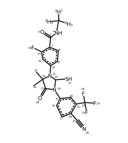 [2H]C([2H])([2H])NC(=O)c1ccc(N2C(S)N(c3ccc(C#N)c(C(F)(F)F)c3)C(=O)C2(C)C)cc1F